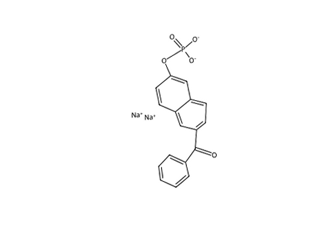 O=C(c1ccccc1)c1ccc2cc(OP(=O)([O-])[O-])ccc2c1.[Na+].[Na+]